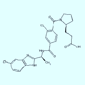 C[C@H](NC(=O)c1ccc(C(=O)N2CCC[C@H]2CCC(=O)O)c(Cl)c1)c1nc2cc(Cl)ccc2[nH]1